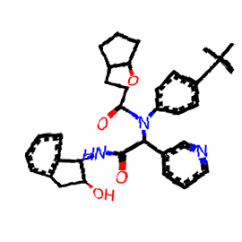 CC(C)(C)c1ccc(N(C(=O)C2CC3CCCC3O2)C(C(=O)N[C@@H]2c3ccccc3C[C@@H]2O)c2cccnc2)cc1